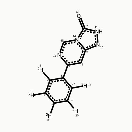 [2H]c1c([2H])c([2H])c(-c2cc3n[nH]c(=O)n3cn2)c([2H])c1[2H]